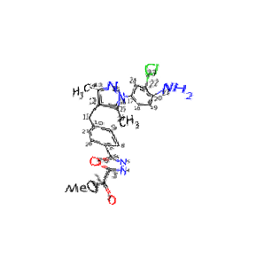 COC(=O)c1nnc(-c2ccc(Cc3c(C)nn(-c4ccc(N)c(Cl)c4)c3C)cc2)o1